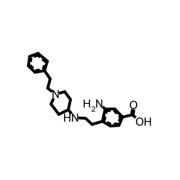 Nc1cc(C(=O)O)ccc1CCNC1CCN(CCc2ccccc2)CC1